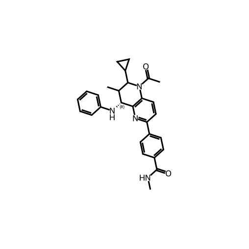 CNC(=O)c1ccc(-c2ccc3c(n2)[C@H](Nc2ccccc2)C(C)C(C2CC2)N3C(C)=O)cc1